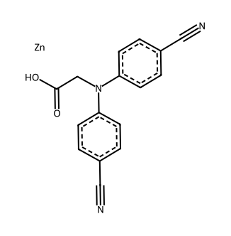 N#Cc1ccc(N(CC(=O)O)c2ccc(C#N)cc2)cc1.[Zn]